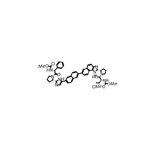 COC(=O)N[C@H](C(O)N1CCC[C@H]1c1nc2ccc3cc(-c4ccc5cc(-c6cnc([C@@H]7CCCN7C(=O)[C@H](NC(=O)OC)c7ccccc7)[nH]6)ccc5c4)ccc3c2[nH]1)[C@@H](C)OC